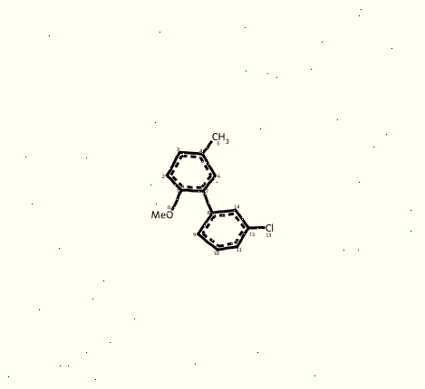 COc1ccc(C)cc1-c1cccc(Cl)c1